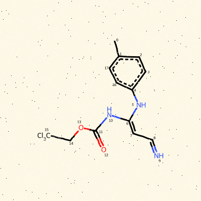 Cc1ccc(N/C(=C\C=N)NC(=O)OCC(Cl)(Cl)Cl)cc1